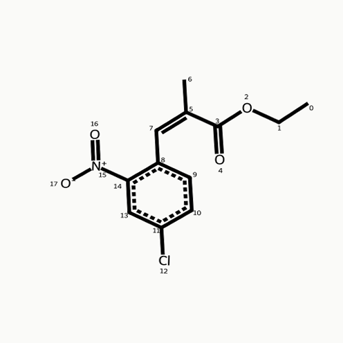 CCOC(=O)C(C)=Cc1ccc(Cl)cc1[N+](=O)[O-]